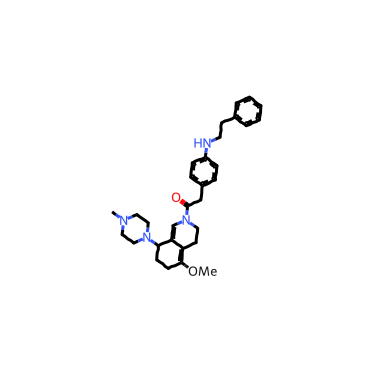 COC1=C2CCN(C(=O)Cc3ccc(NCCc4ccccc4)cc3)C=C2C(N2CCN(C)CC2)CC1